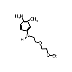 CCOCCOCCN(CC)c1ccc(N)c(C)c1